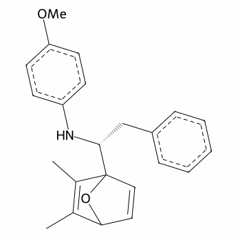 COc1ccc(N[C@H](Cc2ccccc2)C23C=CC(O2)C(C)=C3C)cc1